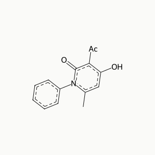 CC(=O)c1c(O)cc(C)n(-c2ccccc2)c1=O